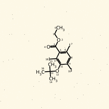 CCOC(=O)c1c(I)cc(I)c(OC(C)(C)C)c1I